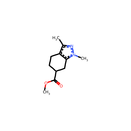 COC(=O)C1CCc2c(C)nn(C)c2C1